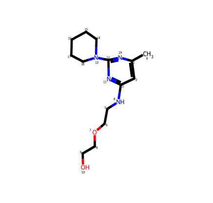 Cc1cc(NCCOCCO)nc(N2CCCCC2)n1